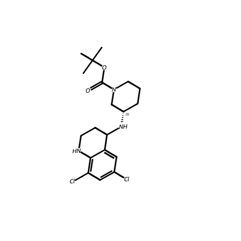 CC(C)(C)OC(=O)N1CCC[C@H](NC2CCNc3c(Cl)cc(Cl)cc32)C1